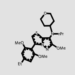 CCCN(c1c(OC)nn2c(-c3c(OC)cc(CC)cc3OC)csc12)C1CCOCC1